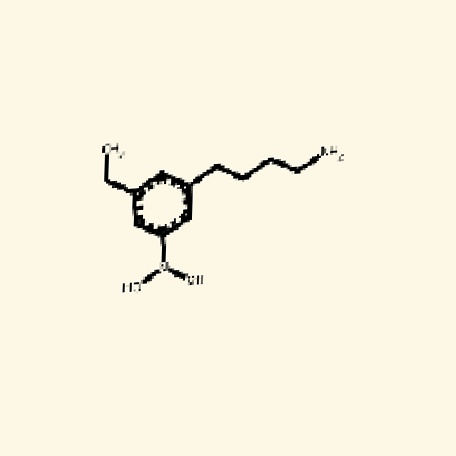 CCc1cc(CCCCN)cc(N(O)O)c1